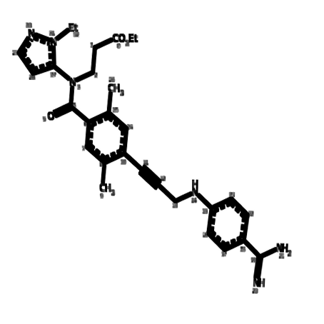 CCOC(=O)CCN(C(=O)c1cc(C)c(C#CCNc2ccc(C(=N)N)cc2)cc1C)c1ccnn1CC